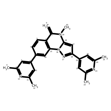 C=C1c2ccc(-c3cc(C)nc(C)c3)cc2-n2nc(-c3cc(C)nc(C)c3)cc2N1C